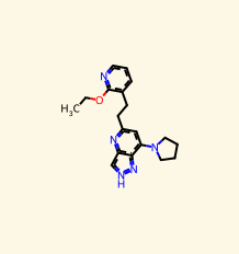 CCOc1ncccc1CCc1cc(N2CCCC2)c2n[nH]cc2n1